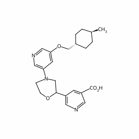 C[C@H]1CC[C@H](COc2cncc(N3CCOC(c4cncc(C(=O)O)c4)C3)c2)CC1